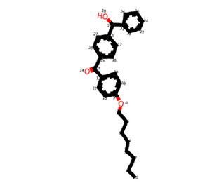 CCCCCCCCOc1ccc(C(=O)c2ccc(C(O)c3ccccc3)cc2)cc1